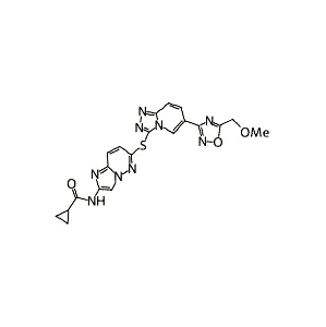 COCc1nc(-c2ccc3nnc(Sc4ccc5nc(NC(=O)C6CC6)cn5n4)n3c2)no1